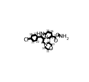 NOC(=O)C1=CN2C(CN3CCOCC3)=C(c3ccc(Cl)cc3)NC2C=C1